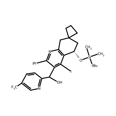 CC(C)c1nc2c(c(I)c1C(O)c1ccc(C(F)(F)F)cn1)[C@@H](O[Si](C)(C)C(C)(C)C)CC1(CCC1)C2